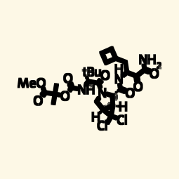 COC(=O)C(C)(C)OC(=O)N[C@H](C(=O)N1C[C@H]2[C@@H]([C@H]1C(=O)NC(CC1CCC1)C(=O)C(N)=O)C2(Cl)Cl)C(C)(C)C